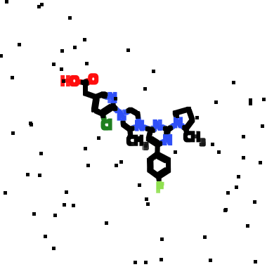 CC1CN(c2ncc(CC(=O)O)cc2Cl)CCN1c1cc(-c2ccc(F)cc2)nc(N2CCCC2C)n1